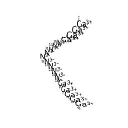 [Ga+3].[Ga+3].[Ga+3].[Ga+3].[Ga+3].[Ga+3].[Ga+3].[Ga+3].[Ga+3].[N-3].[N-3].[N-3].[N-3].[N-3].[N-3].[N-3].[N-3].[N-3]